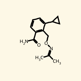 CC(C)=NOCc1c(C(N)=O)cccc1C1CC1